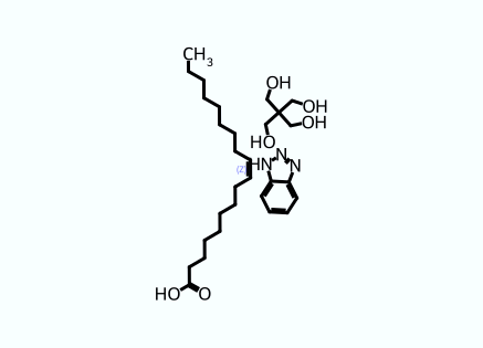 CCCCCCCC/C=C\CCCCCCCC(=O)O.OCC(CO)(CO)CO.c1ccc2[nH]nnc2c1